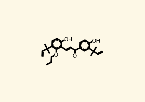 C=CC(C)(C)c1cc(C(=O)C=Cc2c(O)ccc(C(C)(C)C=C)c2OCCC)ccc1O